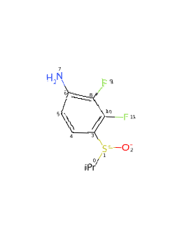 CC(C)[S+]([O-])c1ccc(N)c(F)c1F